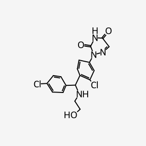 O=c1cnn(-c2ccc(C(NCCO)c3ccc(Cl)cc3)c(Cl)c2)c(=O)[nH]1